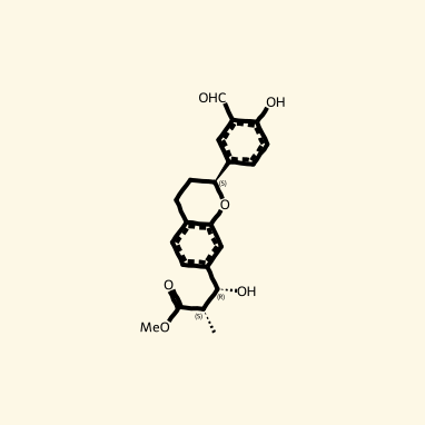 COC(=O)[C@@H](C)[C@@H](O)c1ccc2c(c1)O[C@H](c1ccc(O)c(C=O)c1)CC2